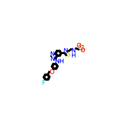 CS(=O)(=O)CCNCc1nc(-c2ccc3ncnc(Nc4ccc(OCc5ccc(F)cc5)cc4)c3c2)cs1